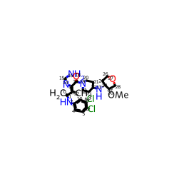 C=C(Nc1ccc(Cl)c(Cl)c1)/C(C)=C(\N=C/N)C(=O)N1CCC(N[C@@H]2CCOC[C@@H]2OC)CC1